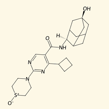 O=C(N[C@H]1C2CC3CC1C[C@@](O)(C3)C2)c1cnc(N2CC[S+]([O-])CC2)nc1C1CCC1